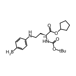 Bc1ccc(NCC[C@H](NC(=O)OC(C)(C)C)C(=O)OC2CCCC2)cc1